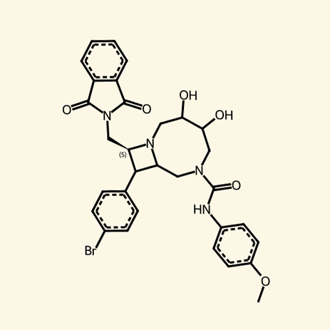 COc1ccc(NC(=O)N2CC(O)C(O)CN3C(C2)C(c2ccc(Br)cc2)[C@H]3CN2C(=O)c3ccccc3C2=O)cc1